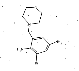 Nc1cc(Br)c(N)c(CN2CCOCC2)c1